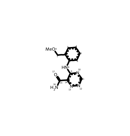 COCc1ccccc1Nc1ncnnc1C(N)=O